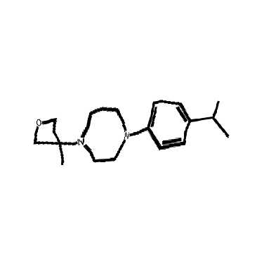 CC(C)c1ccc(N2CCN(C3(C)COC3)CC2)cc1